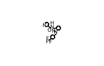 O=C(Nc1nn(Cc2ccc(C(F)(F)F)cc2)c2ccccc12)c1cccnc1